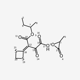 CC1OC1=O.CCC(C)OC(=O)C(C(=O)C(=O)O)=C1SCS1